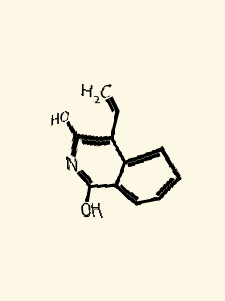 C=Cc1c(O)nc(O)c2ccccc12